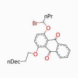 CCCCCCCCCCCCOc1ccc(OC(Br)CCC)c2c1C(=O)c1ccccc1C2=O